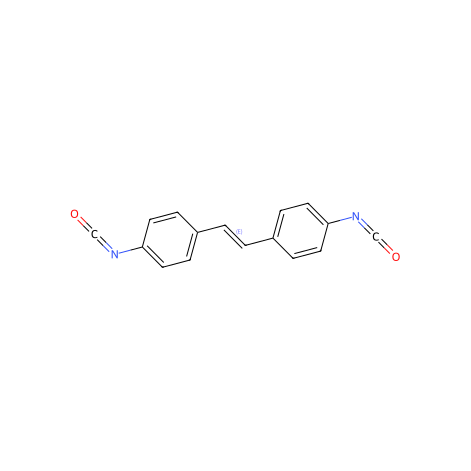 O=C=Nc1ccc(/C=C/c2ccc(N=C=O)cc2)cc1